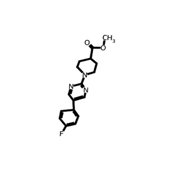 COC(=O)C1CCN(c2ncc(-c3ccc(F)cc3)cn2)CC1